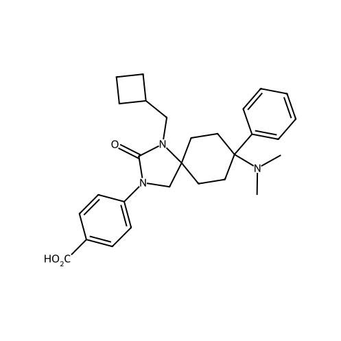 CN(C)C1(c2ccccc2)CCC2(CC1)CN(c1ccc(C(=O)O)cc1)C(=O)N2CC1CCC1